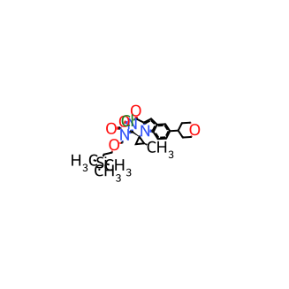 C[C@H]1C[C@]1(c1noc(=O)n1COCC[Si](C)(C)C)n1c(C(=O)Cl)cc2cc(C3CCOCC3)ccc21